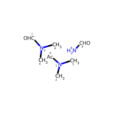 CC(=O)N(C)C.CN(C)C=O.NC=O